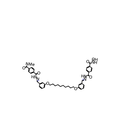 CNC(=O)c1ccc(C(=O)N/N=C/c2cccc(OCCCCCCCCCCOc3cccc(/C=N/NC(=O)c4ccc(C(=O)NO)cc4)c3)c2)cc1